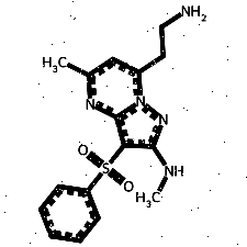 CNc1nn2c(CCN)cc(C)nc2c1S(=O)(=O)c1ccccc1